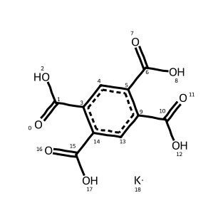 O=C(O)c1cc(C(=O)O)c(C(=O)O)cc1C(=O)O.[K]